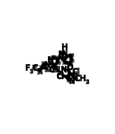 Cc1ncc(Cl)c([C@@H](N)Oc2ccc3[nH]nc(-c4cnc(N5CC(CC(F)(F)F)C5)c(C#N)c4)c3c2)c1Cl